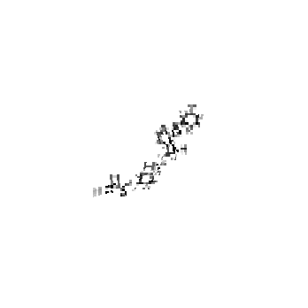 O=C(CCc1ccc(CNCCc2c[nH]c3c(OCc4ccccc4)cccc23)cc1)NO